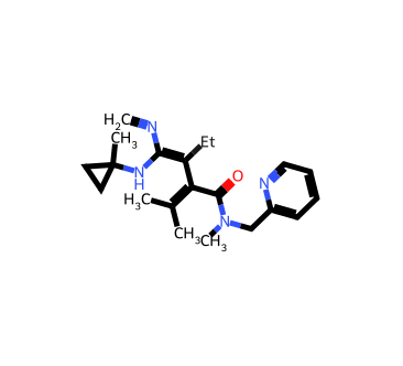 C=N/C(NC1(C)CC1)=C(\CC)C(C(=O)N(C)Cc1ccccn1)=C(C)C